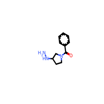 NNC1CCN(C(=O)c2ccccc2)C1